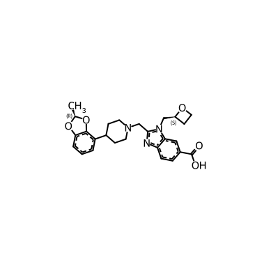 C[C@@H]1Oc2cccc(C3CCN(Cc4nc5ccc(C(=O)O)cc5n4C[C@@H]4CCO4)CC3)c2O1